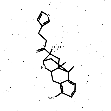 CCOC(=O)C1(C(=O)CCc2ccoc2)CC2(C)C3Cc4c(OC)cccc4C2(C)CC1N3